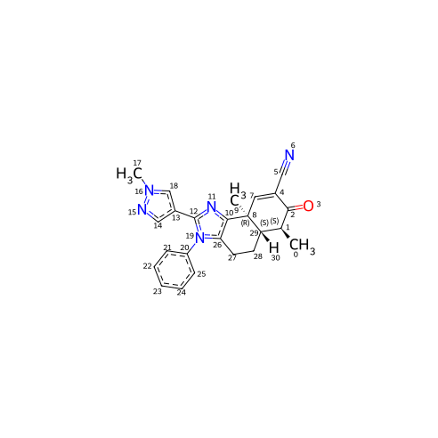 C[C@@H]1C(=O)C(C#N)=C[C@]2(C)c3nc(-c4cnn(C)c4)n(-c4ccccc4)c3CC[C@@H]12